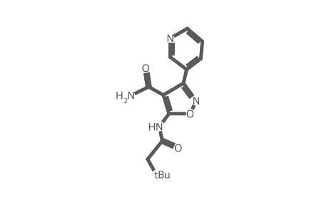 CC(C)(C)CC(=O)Nc1onc(-c2cccnc2)c1C(N)=O